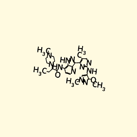 CCC(C(=O)Nc1ccnc2c(-c3nc(Nc4cn(C)nc4OC)ncc3C)n[nH]c12)N1CCN(C)CC1